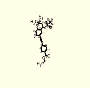 CCOC(=O)c1ccc(C#Cc2cc3c(cc2F)SC(C)(C)CC3OS(=O)(=O)C(F)(F)F)cc1